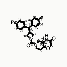 O=C1COC2CCN(C(=O)N3CC(C(c4ccc(F)cc4)c4ccc(F)cc4)C3)C[C@H]2N1